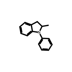 C[C]1Cc2ccccc2N1c1ccccc1